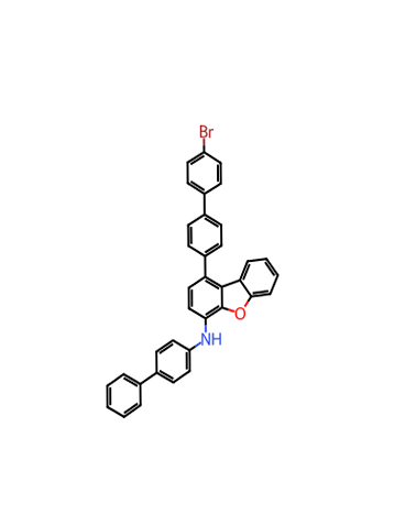 Brc1ccc(-c2ccc(-c3ccc(Nc4ccc(-c5ccccc5)cc4)c4oc5ccccc5c34)cc2)cc1